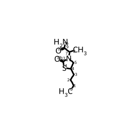 CCCCC1CN(C(C)C(N)=O)C(=O)S1